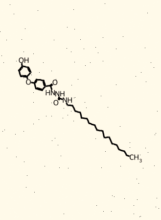 CCCCCCCCCCCCCCCCCCNC(=O)NNC(=O)c1ccc(Oc2ccc(O)cc2)cc1